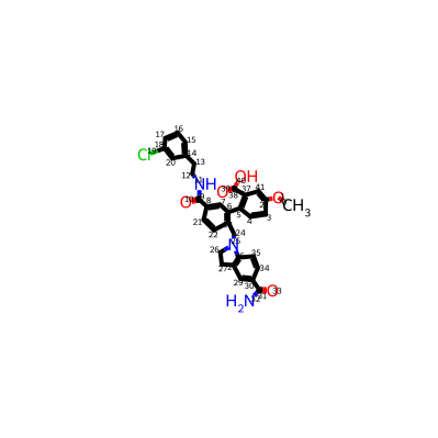 COc1ccc(-c2cc(C(=O)NCCc3cccc(Cl)c3)ccc2CN2CCc3cc(C(N)=O)ccc32)c(C(=O)O)c1